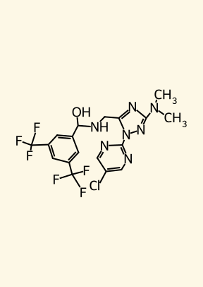 CN(C)c1nc(CNC(O)c2cc(C(F)(F)F)cc(C(F)(F)F)c2)n(-c2ncc(Cl)cn2)n1